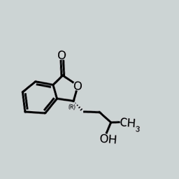 CC(O)CC[C@H]1OC(=O)c2ccccc21